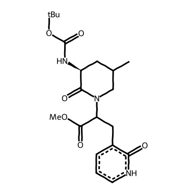 COC(=O)C(Cc1ccc[nH]c1=O)N1CC(C)C[C@H](NC(=O)OC(C)(C)C)C1=O